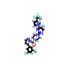 O=C(N1CCN(c2ncc(F)c(-n3ccc(C(F)(F)F)n3)n2)CC1)N1N=CCC1c1cc(F)cc(F)c1